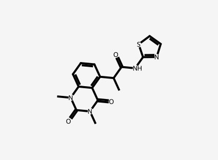 CC(C(=O)Nc1nccs1)c1cccc2c1c(=O)n(C)c(=O)n2C